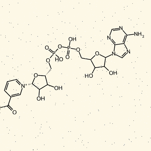 NC(=O)c1ccc[n+]([C@@H]2O[C@H](COP(=O)(O)OP(=O)(O)OCC3OC(n4cnc5c(N)ncnc54)C(O)C3O)C(O)C2O)c1